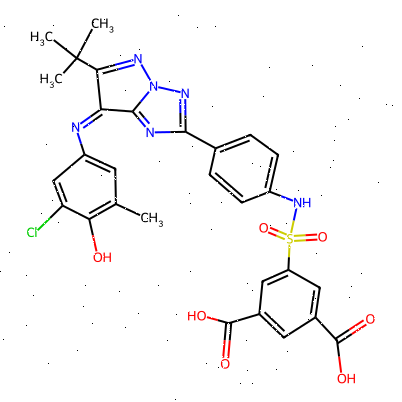 Cc1cc(N=C2C(C(C)(C)C)=Nn3nc(-c4ccc(NS(=O)(=O)c5cc(C(=O)O)cc(C(=O)O)c5)cc4)nc32)cc(Cl)c1O